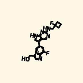 OCc1cnc2c(F)cc(-c3c[nH]c4nc(NCC5(F)CCC5)ncc34)cn12